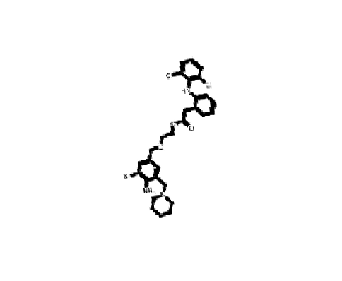 Nc1c(Br)cc(COCCOC(=O)Cc2ccccc2Nc2c(Cl)cccc2Cl)cc1CN1CCCCC1